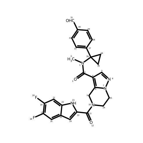 CN(C(=O)c1cnn2c1CN(C(=O)c1cc3cc(F)c(F)cc3[nH]1)CC2)C1(c2ccc(C=O)cc2)CC1